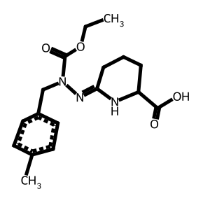 CCOC(=O)N(Cc1ccc(C)cc1)N=C1CCCC(C(=O)O)N1